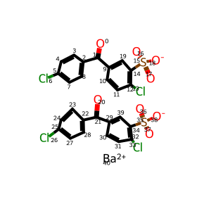 O=C(c1ccc(Cl)cc1)c1ccc(Cl)c(S(=O)(=O)[O-])c1.O=C(c1ccc(Cl)cc1)c1ccc(Cl)c(S(=O)(=O)[O-])c1.[Ba+2]